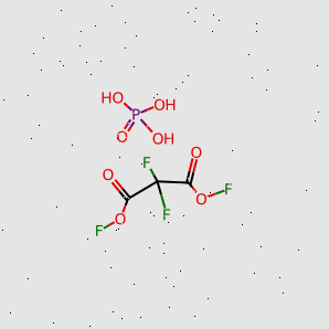 O=C(OF)C(F)(F)C(=O)OF.O=P(O)(O)O